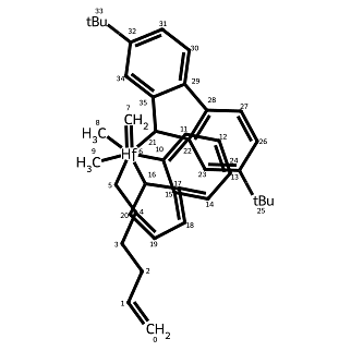 C=CCCC[CH2][Hf](=[CH2])([CH3])([CH3])([c]1ccccc1)([CH]1C=CC=C1)[CH]1c2cc(C(C)(C)C)ccc2-c2ccc(C(C)(C)C)cc21